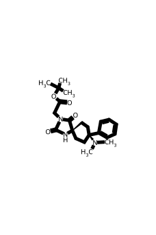 CN(C)[C@]1(c2ccccc2)CC[C@@]2(CC1)NC(=O)N(CC(=O)OC(C)(C)C)C2=O